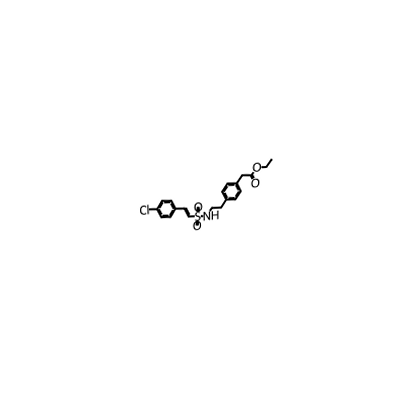 CCOC(=O)Cc1ccc(CCNS(=O)(=O)C=Cc2ccc(Cl)cc2)cc1